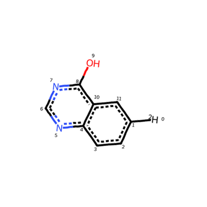 [2H]c1ccc2ncnc(O)c2c1